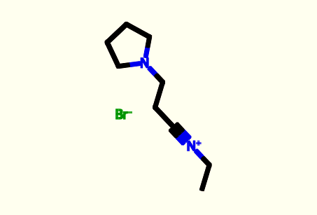 CC[N+]#CCCN1CCCC1.[Br-]